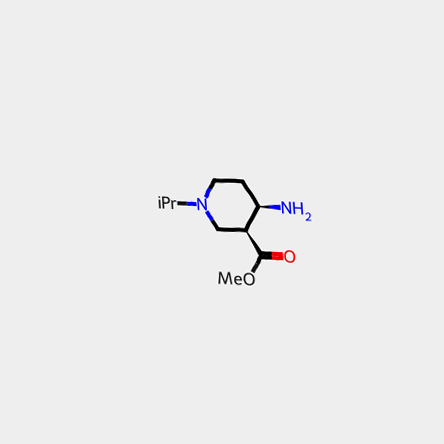 COC(=O)[C@H]1CN(C(C)C)CC[C@H]1N